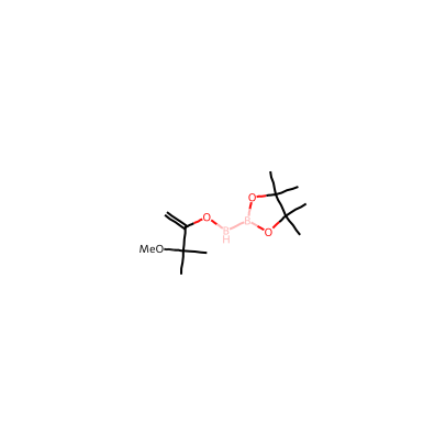 C=C(OBB1OC(C)(C)C(C)(C)O1)C(C)(C)OC